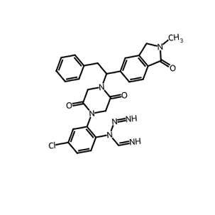 CN1Cc2cc(C(Cc3ccccc3)N3CC(=O)N(c4cc(Cl)ccc4N(C=N)N=N)CC3=O)ccc2C1=O